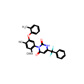 COc1cc(C#N)c(Oc2ccccc2C)cc1-n1c(=O)cc(C(F)(F)c2ccccc2)[nH]c1=O